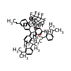 C=Cc1ccc(OS(=O)(=O)C(F)(F)C(F)(F)C(F)(F)S(=O)(=O)NS(=O)(=O)c2ccccc2-c2c3cc/c(=N/c4c(C(C)C)cccc4C(C)C)cc-3oc3cc(Nc4c(C(C)C)cccc4C(C)C)ccc23)cc1